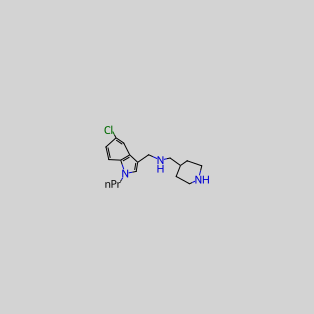 CCCn1cc(CNCC2CCNCC2)c2cc(Cl)ccc21